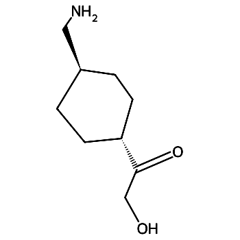 NC[C@H]1CC[C@H](C(=O)CO)CC1